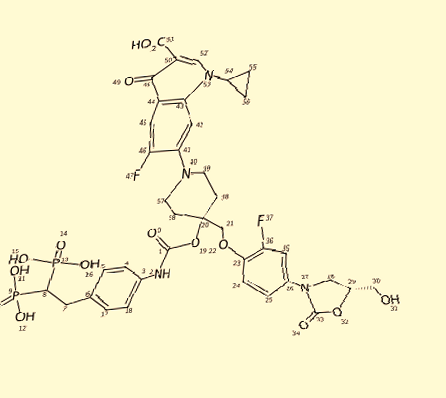 O=C(Nc1ccc(CC(P(=O)(O)O)P(=O)(O)O)cc1)OC1(COc2ccc(N3C[C@H](CO)OC3=O)cc2F)CCN(c2cc3c(cc2F)c(=O)c(C(=O)O)cn3C2CC2)CC1